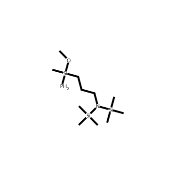 CO[Si](C)(P)CCCN([Si](C)(C)C)[Si](C)(C)C